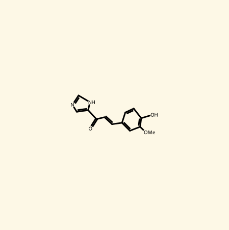 COc1cc(C=CC(=O)c2cnc[nH]2)ccc1O